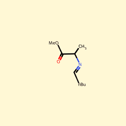 CCCCC=NC(C)C(=O)OC